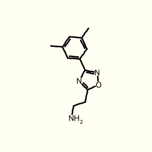 Cc1cc(C)cc(-c2noc(CCN)n2)c1